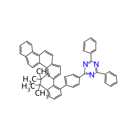 CC1(C)c2cccc(-c3ccc(-c4nc(-c5ccccc5)nc(-c5ccccc5)n4)cc3)c2-c2ccc3ccc4c5ccccc5ccc4c3c2C1(C)C